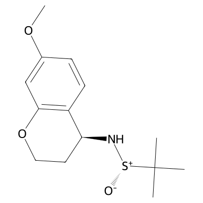 COc1ccc2c(c1)OCC[C@@H]2N[S@@+]([O-])C(C)(C)C